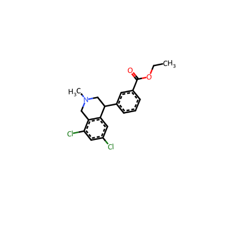 CCOC(=O)c1cccc(C2CN(C)Cc3c(Cl)cc(Cl)cc32)c1